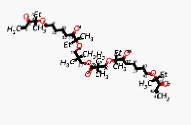 C=CC(=O)C(C)(CC)OCCCCCC(=O)C(C)(CC)OCC(C)(C)COC(=O)C(C)(C)COC(C)(CC)C(=O)CCCCCOC(C)(CC)C(=O)C=C